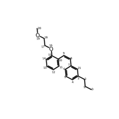 C[CH]Cc1cccc(/C=C\c2ccccc2OCCOC)c1